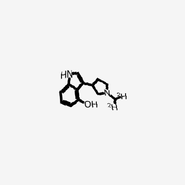 [2H]C([2H])N1CCC(c2c[nH]c3cccc(O)c23)C1